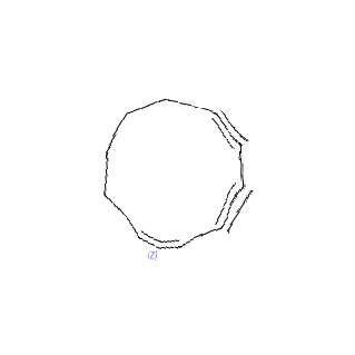 C1#C/C=C\CCCCC#C1